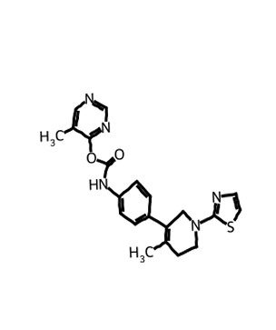 CC1=C(c2ccc(NC(=O)Oc3ncncc3C)cc2)CN(c2nccs2)CC1